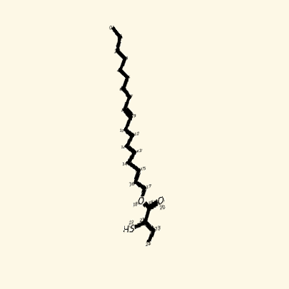 CCCCCCCCC=CCCCCCCCCOC(=O)C(S)CC